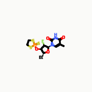 CC[C@H]1O[C@@H](n2cc(C)c(=O)[nH]c2=O)[C@H](F)[C@@H]1OP1(=S)SCCS1